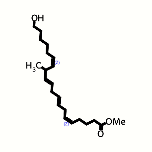 COC(=O)CCC/C=C\CC=CCC=CC(C)/C=C\CCCCCO